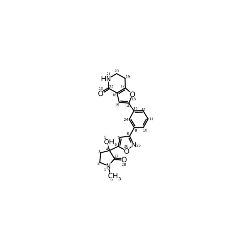 CN1CCC(O)(c2cc(-c3cccc(-c4cc5c(o4)CCNC5=O)c3)no2)C1=O